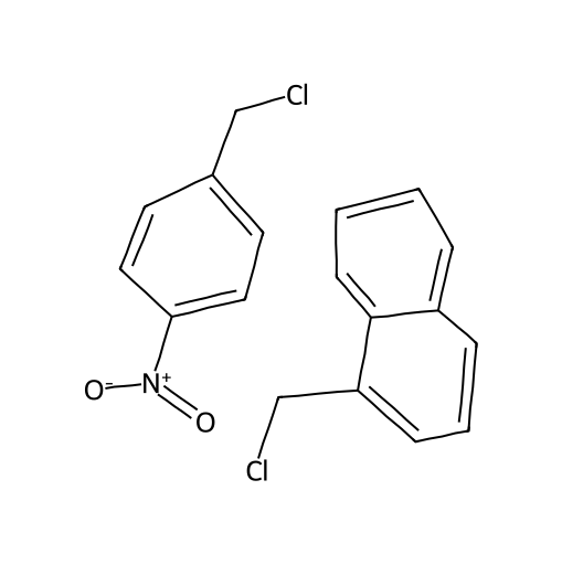 ClCc1cccc2ccccc12.O=[N+]([O-])c1ccc(CCl)cc1